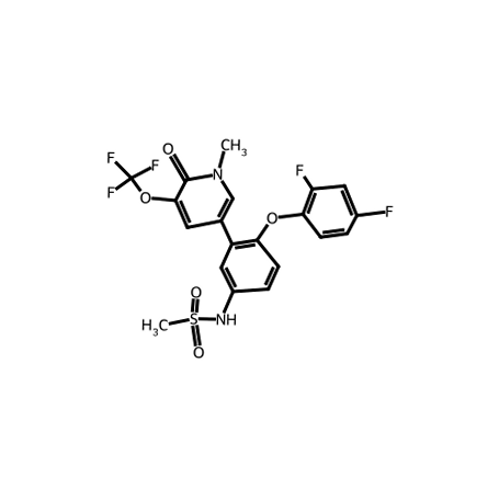 Cn1cc(-c2cc(NS(C)(=O)=O)ccc2Oc2ccc(F)cc2F)cc(OC(F)(F)F)c1=O